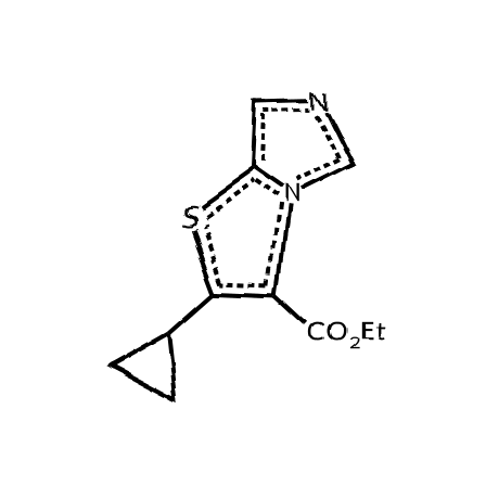 CCOC(=O)c1c(C2CC2)sc2cncn12